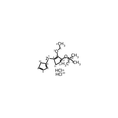 CCOC1=[C]([Zr][C]2=CC=CC2)CC=C1O[Si](C)(C)C.Cl.Cl